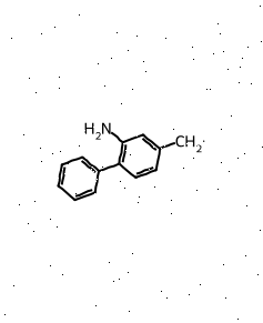 [CH2]c1ccc(-c2ccccc2)c(N)c1